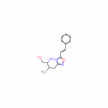 CC(Cc1noc(C=Cc2ccccc2)n1)C(N)CO